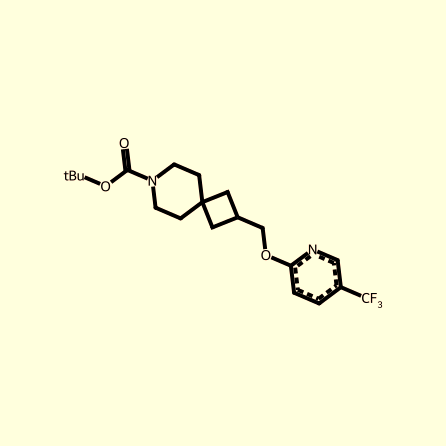 CC(C)(C)OC(=O)N1CCC2(CC1)CC(COc1ccc(C(F)(F)F)cn1)C2